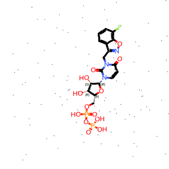 O=c1ccn([C@@H]2O[C@H](COP(=O)(O)OP(=O)(O)O)[C@H](O)[C@@H]2O)c(=O)n1Cc1noc2c(F)cccc12